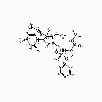 CC(C)OC(=O)[C@H](C)NP(=O)(OC[C@H]1O[C@@H](n2ccc(=O)[nH]c2=O)C(Cl)(C#CCl)C1CO)Oc1ccccc1